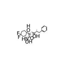 O=C(NO)[C@@H](C[C@@H](O)[CH]Cc1ccccc1)C1(O)CCC(F)(F)CC1